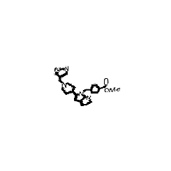 COC(=O)c1ccc(Cn2c(C3CCN(Cc4cncnc4)CC3)cc3cccnc32)cc1